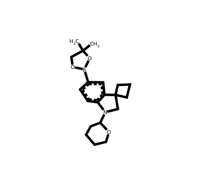 CC1(C)COB(c2ccc3c(c2)C2(CCC2)CN3C2CCCCO2)O1